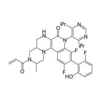 C=CC(=O)N1CC2CNc3c(c4cc(F)c(-c5c(O)cccc5F)c(F)c4n(-c4c(C(C)C)ncnc4C(C)C)c3=O)N2CC1C